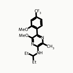 CCC(CC)Nc1nc(OC)c(-c2ccc(C(F)(F)F)cc2OC)nc1C